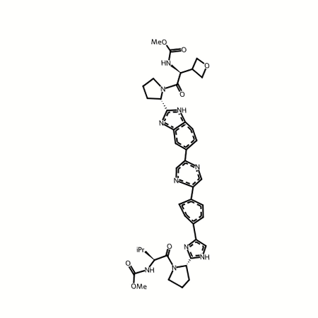 COC(=O)N[C@H](C(=O)N1CCC[C@H]1c1nc(-c2ccc(-c3cnc(-c4ccc5[nH]c([C@@H]6CCCN6C(=O)[C@@H](NC(=O)OC)C6COC6)nc5c4)cn3)cc2)c[nH]1)C(C)C